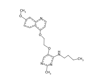 CCCCNc1nc(C)ncc1OCCOc1ccnc2cc(OC)ccc12